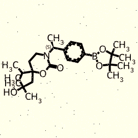 CC(C)C1(CC(C)(C)O)CCN([C@@H](C)c2ccc(B3OC(C)(C)C(C)(C)O3)cc2)C(=O)O1